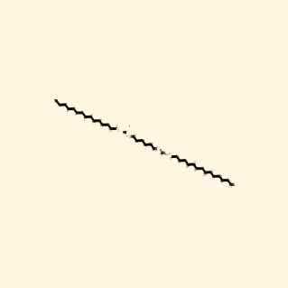 CCCCCCCCCCCCCCCCOC(=O)NCCCCCCNC(=O)OCCCCCCCCCCCCCCCC